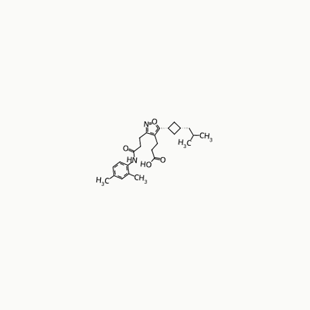 Cc1ccc(NC(=O)CCc2noc([C@H]3C[C@@H](CC(C)C)C3)c2CCC(=O)O)c(C)c1